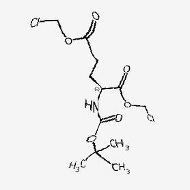 CC(C)(C)OC(=O)N[C@@H](CCC(=O)OCCl)C(=O)OCCl